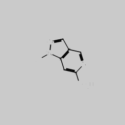 O=C(O)c1cc2c(cn1)cnn2C(F)(F)F